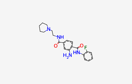 Nc1cc(C(=O)NCCN2CCCCC2)ccc1C(=O)Nc1ccccc1F